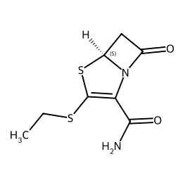 CCSC1=C(C(N)=O)N2C(=O)C[C@@H]2S1